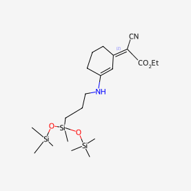 CCOC(=O)/C(C#N)=C1\C=C(NCCC[Si](C)(O[Si](C)(C)C)O[Si](C)(C)C)CCC1